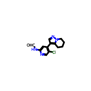 O=CNc1cc(-c2cnn3c2CCCC3)c(Cl)cn1